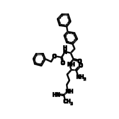 CC(=N)NCCCC(NC(=O)C(Cc1ccc(-c2ccccc2)cc1)NC(=O)OCc1ccccc1)C(N)=O